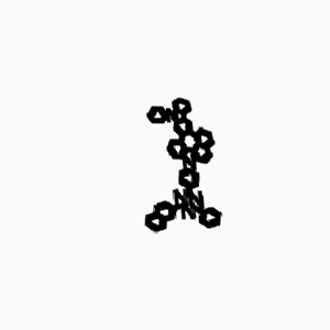 c1ccc(-c2nc(-c3ccc(-n4c5cccc6c5c5c7c(cccc7ccc54)-c4cc5c7ccccc7n(-c7ccccc7)c5cc4-6)cc3)nc(-c3ccc4ccccc4c3)n2)cc1